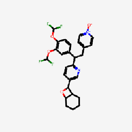 [O-][n+]1ccc(CC(c2ccc(OC(F)F)c(OC(F)F)c2)c2ccc(C3OC4CCCCC43)cn2)cc1